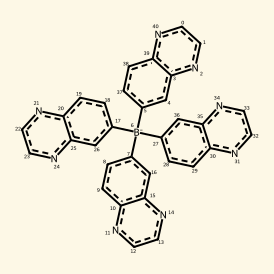 c1cnc2cc([B-](c3ccc4nccnc4c3)(c3ccc4nccnc4c3)c3ccc4nccnc4c3)ccc2n1